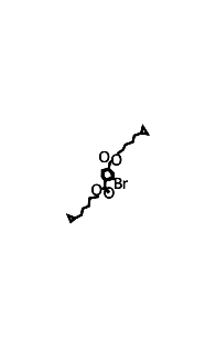 O=C(OCCCCCC1CC1)c1ccc(C(=O)OCCCCCC2CC2)c(Br)c1